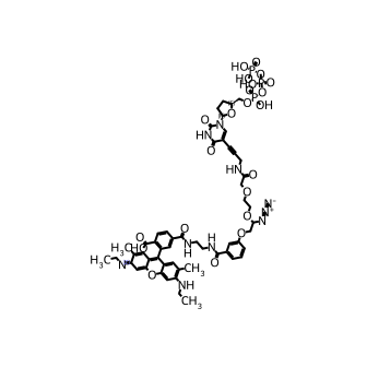 CC/N=c1/cc2oc3cc(NCC)c(C)cc3c(-c3cc(C(=O)NCCNC(=O)c4cccc(OCC(N=[N+]=[N-])OCCOCC(=O)NCC#Cc5cn([C@H]6CC[C@@H](COP(=O)(O)OP(=O)(O)OP(=O)(O)O)O6)c(=O)[nH]c5=O)c4)ccc3C(=O)O)c-2cc1C